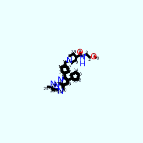 COCCNC(=O)C1CCN(Cc2ccc(-c3nc4c(cnc5cc(C)nn54)cc3-c3ccccc3)cc2)CC1